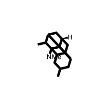 CNC12C[C@@H]3CC(C4CC(C)CC1C4C3)C2C